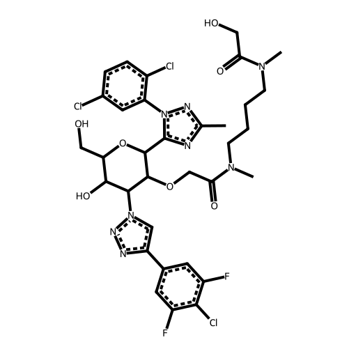 Cc1nc(C2OC(CO)C(O)C(n3cc(-c4cc(F)c(Cl)c(F)c4)nn3)C2OCC(=O)N(C)CCCCN(C)C(=O)CO)n(-c2cc(Cl)ccc2Cl)n1